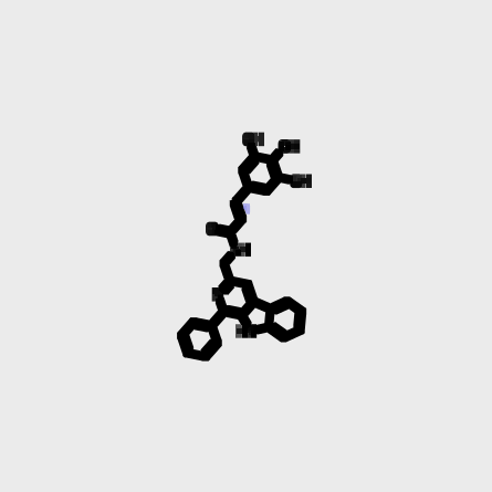 O=C(/C=C/c1cc(O)c(O)c(O)c1)NCc1cc2c([nH]c3ccccc32)c(-c2ccccc2)n1